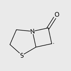 O=C1[CH]C2SCCN12